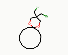 BrCC1(CBr)COC2(CCCCCCCCCCC2)OC1